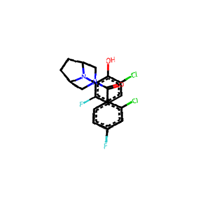 O=C(c1ccc(F)cc1Cl)N1CC2CCC(C1)N2c1c(F)ccc(Cl)c1O